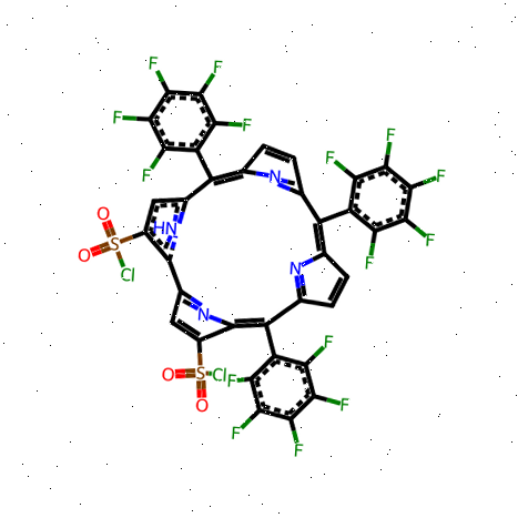 O=S(=O)(Cl)C1=CC2=NC1=C(c1c(F)c(F)c(F)c(F)c1F)C1=NC(=C(c3c(F)c(F)c(F)c(F)c3F)C3=NC(=C(c4c(F)c(F)c(F)c(F)c4F)c4cc(S(=O)(=O)Cl)c2[nH]4)C=C3)C=C1